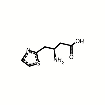 N[C@H](CC(=O)O)Cc1nccs1